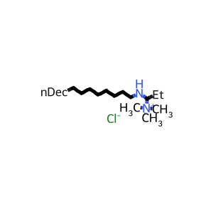 CCCCCCCCCCCCCCCCCCNC(CC)[N+](C)(C)C.[Cl-]